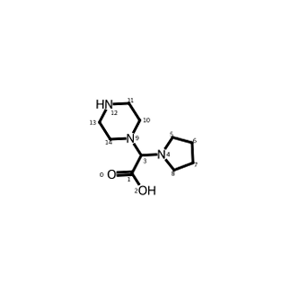 O=C(O)C(N1CCCC1)N1CCNCC1